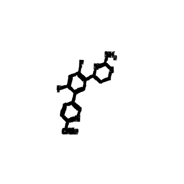 COc1ccc(-c2cc(C3CCSC(N)=N3)c(F)cc2F)cn1